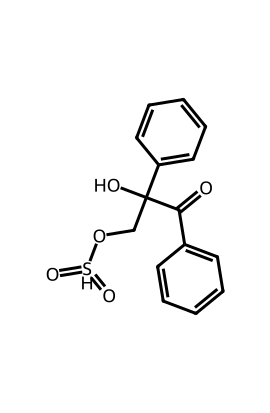 O=C(c1ccccc1)C(O)(CO[SH](=O)=O)c1ccccc1